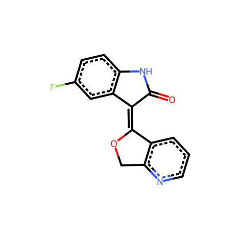 O=C1Nc2ccc(F)cc2/C1=C1\OCc2ncccc21